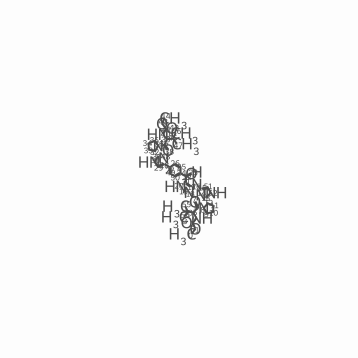 COC(=O)N[C@H](C(=O)N1CCC[C@H]1c1nc(Nc2nc[nH]c2C(=O)c2ccc(-c3c[nH]c([C@@H]4CCCN4C(=O)[C@@H](NC(=O)OC)C(C)C)n3)cc2)c[nH]1)C(C)C